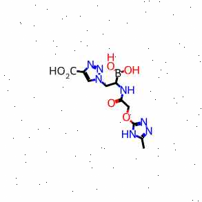 Cc1nnc(OCC(=O)NC(Cn2cc(C(=O)O)nn2)B(O)O)[nH]1